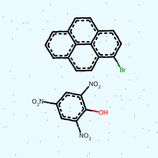 Brc1ccc2ccc3cccc4ccc1c2c34.O=[N+]([O-])c1cc([N+](=O)[O-])c(O)c([N+](=O)[O-])c1